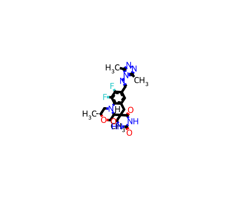 Cc1nnc(C)n1/N=C/c1cc2c(c(F)c1F)N1C[C@@H](C)O[C@@H](C)[C@@H]1C1(C2)C(=O)NC(=O)NC1=O